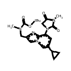 CN(Cc1cn2cc(C3CC3)cc(N3CC(=O)N(C)C3=O)c2n1)C(=O)OC(C)(C)C